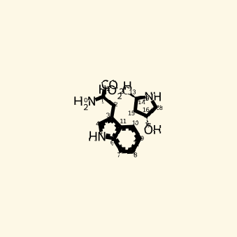 NC(Cc1c[nH]c2ccccc12)C(=O)O.O=C(O)[C@@H]1C[C@@H](O)CN1